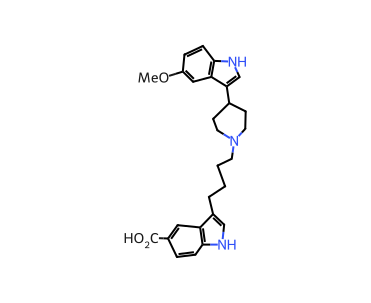 COc1ccc2[nH]cc(C3CCN(CCCCc4c[nH]c5ccc(C(=O)O)cc45)CC3)c2c1